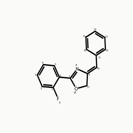 Fc1ccccc1C1=N/C(=C\c2ccccc2)CO1